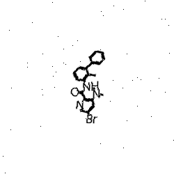 Cc1c(NC(=O)c2ncc(Br)cc2N(C)C)cccc1-c1ccccc1